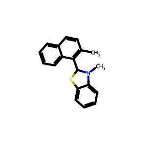 Cc1ccc2ccccc2c1C1Sc2ccccc2N1C